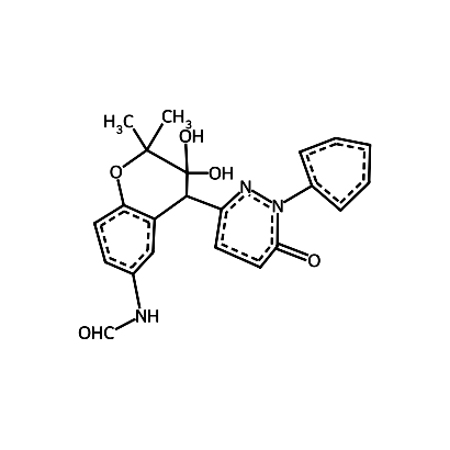 CC1(C)Oc2ccc(NC=O)cc2C(c2ccc(=O)n(-c3ccccc3)n2)C1(O)O